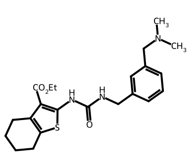 CCOC(=O)c1c(NC(=O)NCc2cccc(CN(C)C)c2)sc2c1CCCC2